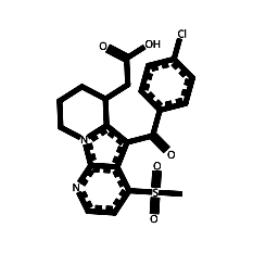 CS(=O)(=O)c1ccnc2c1c(C(=O)c1ccc(Cl)cc1)c1n2CCCC1CC(=O)O